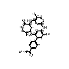 CNC(=O)c1ccc(-c2cc(F)c(Nc3ncc(I)c(N[C@H]4CCCCNC4=O)n3)cc2C)cc1